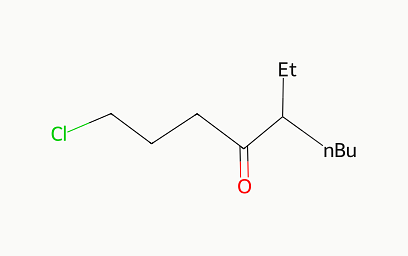 CCCCC(CC)C(=O)CCCCl